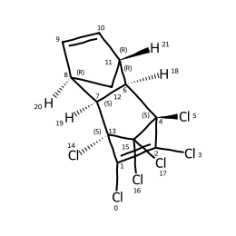 ClC1=C(Cl)[C@@]2(Cl)[C@H]3[C@H]([C@H]4C=C[C@H]3C4)[C@@]1(Cl)C2(Cl)Cl